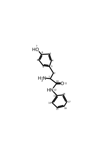 NC(Cc1ccc(O)cc1)C(=O)Nc1ccccc1